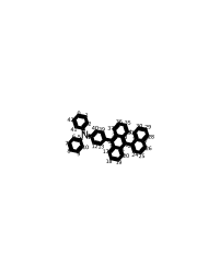 c1ccc(N(c2ccccc2)c2ccc(-c3c4ccccc4c(-c4cccc5ccccc45)c4ccccc34)cc2)cc1